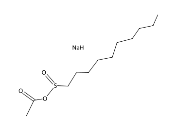 CCCCCCCCCCS(=O)OC(C)=O.[NaH]